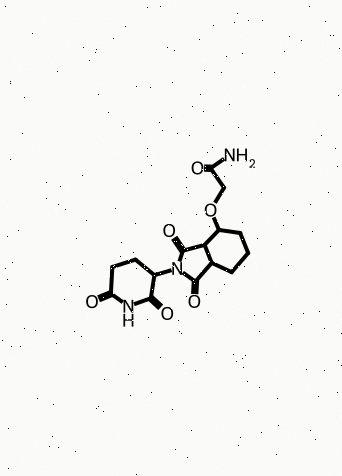 NC(=O)COC1CCCC2C(=O)N(C3CCC(=O)NC3=O)C(=O)C12